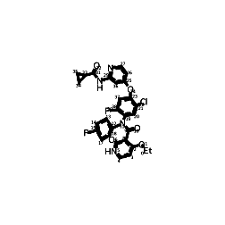 CCOc1cc[nH]c(=O)c1C(=O)N(c1ccc(F)cc1)c1cc(Cl)c(Oc2ccnc(NC(=O)C3CC3)c2)cc1F